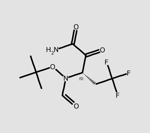 CC(C)(C)ON(C=O)[C@@H](CC(F)(F)F)C(=O)C(N)=O